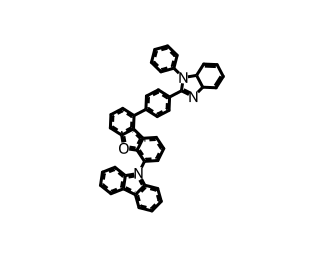 C1=CC2N=C(c3ccc(-c4cccc5oc6c(-n7c8ccccc8c8ccccc87)cccc6c45)cc3)N(c3ccccc3)C2C=C1